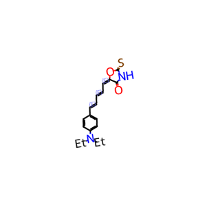 CCN(CC)c1ccc(/C=C/C=C/C=C2/OC(=S)NC2=O)cc1